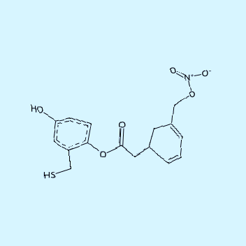 O=C(CC1C=CC=C(CO[N+](=O)[O-])C1)Oc1ccc(O)cc1CS